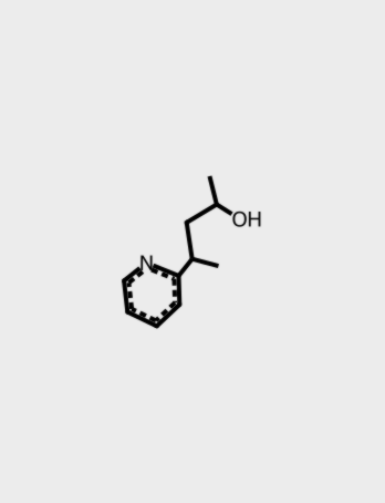 CC(O)CC(C)c1ccccn1